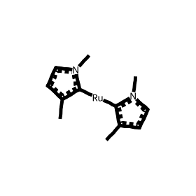 Cc1ccn(C)[c]1[Ru][c]1c(C)ccn1C